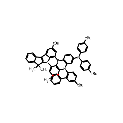 Cc1cc2c3c(c1)-n1c4c(c5cc(C(C)(C)C)cc(c51)B3c1ccc(N(c3ccc(C(C)(C)C)cc3)c3ccc(C(C)(C)C)cc3)cc1N2c1ccc(C(C)(C)C)cc1-c1ccccc1)-c1ccccc1C4(C)C